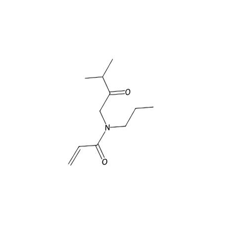 C=CC(=O)N(CCC)CC(=O)C(C)C